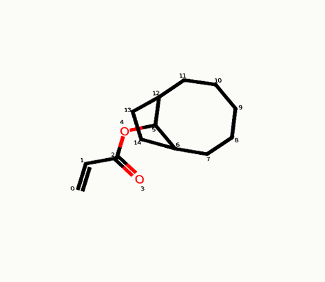 C=CC(=O)OC1C2CCCCCC1CC2